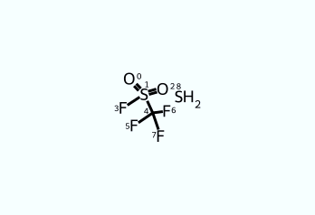 O=S(=O)(F)C(F)(F)F.S